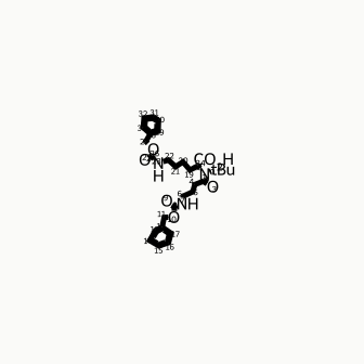 CC(C)(C)N(C(=O)CCCNC(=O)OCc1ccccc1)C(CCCCNC(=O)OCc1ccccc1)C(=O)O